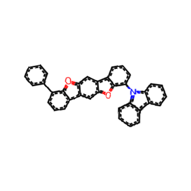 c1ccc(-c2cccc3c2oc2cc4c(cc23)oc2c(-n3c5ccccc5c5ccccc53)cccc24)cc1